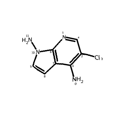 Nc1c(Cl)cnc2c1ccn2N